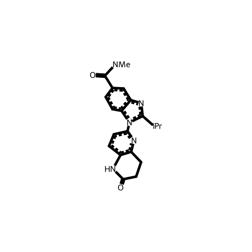 CNC(=O)c1ccc2c(c1)nc(C(C)C)n2-c1ccc2c(n1)CCC(=O)N2